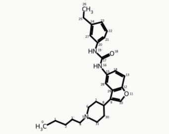 CCCCCN1CCC(c2coc3ccc(NC(=O)Nc4cccc(CC)c4)cc23)CC1